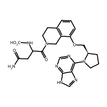 NC(=O)CC(NC(=O)O)C(=O)N1CCc2cccc(OC[C@H]3CCCN3c3ncnc4[nH]cnc34)c2C1